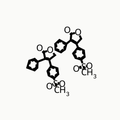 CS(=O)(=O)c1ccc(C2=C(c3ccccc3)C(=O)OC2)cc1.CS(=O)(=O)c1ccc(C2=C(c3ccccc3)C(=O)OC2)cc1